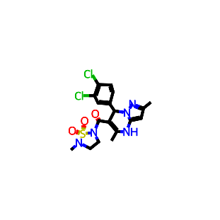 CC1=C(C(=O)N2CCN(C)S2(=O)=O)C(c2ccc(Cl)c(Cl)c2)n2nc(C)cc2N1